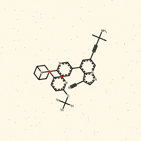 [2H]C([2H])([2H])Oc1ccc(CN2C3CC2CN(c2ccc(-c4cc(C#CC(C)(C)N)cn5ncc(C#N)c45)cn2)C3)cn1